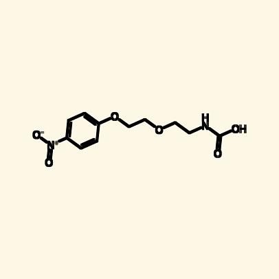 O=C(O)NCCOCCOc1ccc([N+](=O)[O-])cc1